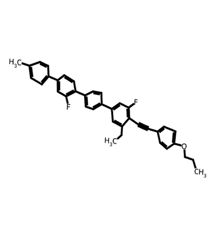 CCCOc1ccc(C#Cc2c(F)cc(-c3ccc(-c4ccc(-c5ccc(C)cc5)cc4F)cc3)cc2CC)cc1